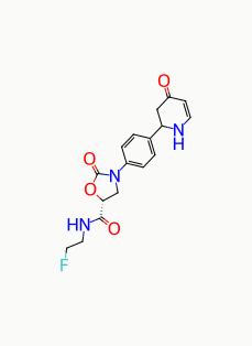 O=C1C=CNC(c2ccc(N3C[C@H](C(=O)NCCF)OC3=O)cc2)C1